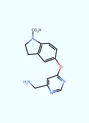 NCc1cc(Oc2ccc3c(c2)CCN3C(=O)O)ncn1